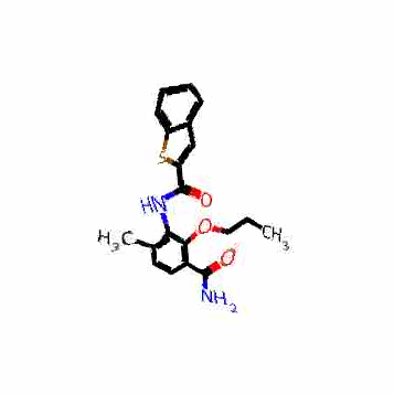 CCCOc1c(C(N)=O)ccc(C)c1NC(=O)c1cc2ccccc2s1